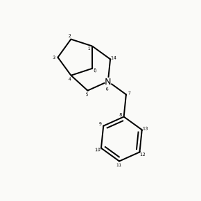 [CH]1C2CCC1CN(Cc1ccccc1)C2